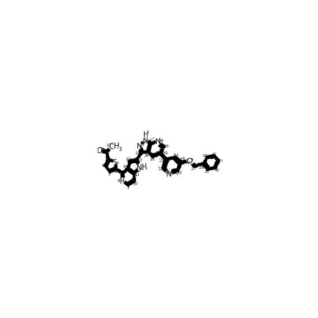 CC(=O)c1ccc(-c2nccc3[nH]c(-c4n[nH]c5ncc(-c6cncc(OCc7ccccc7)c6)cc45)cc23)s1